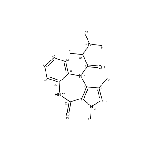 Cc1nn(C)c2c1N(C(=O)C(C)N(C)C)c1ccccc1NC2=O